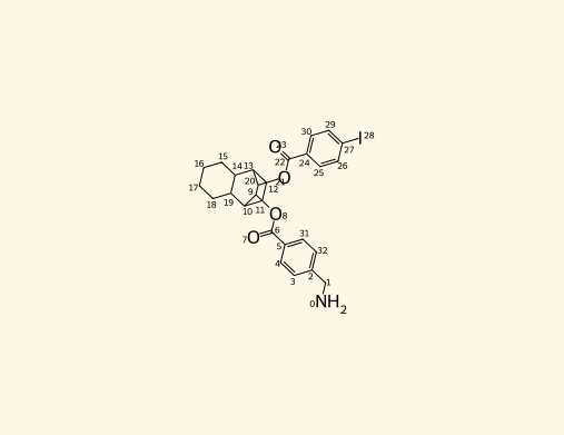 NCc1ccc(C(=O)OC2C3CCC(C4CCCCC43)C2OC(=O)c2ccc(I)cc2)cc1